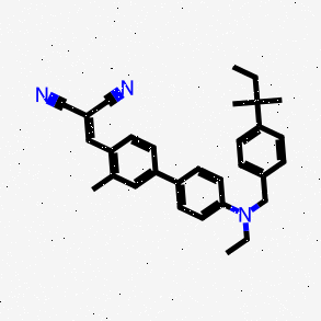 CCN(Cc1ccc(C(C)(C)CC)cc1)c1ccc(-c2ccc(C=C(C#N)C#N)c(C)c2)cc1